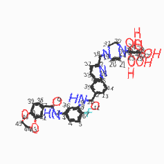 O=C(Nc1ccc(F)c(NC(=O)c2ccc3nc(CN4CCN(C(O)(O)C(O)(O)O)CC4)ccc3c2)c1)c1ccc2c(c1)OCCO2